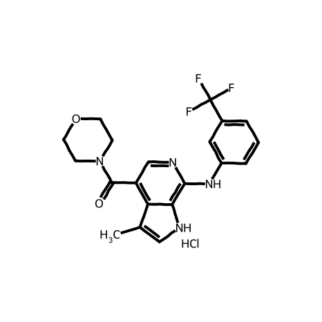 Cc1c[nH]c2c(Nc3cccc(C(F)(F)F)c3)ncc(C(=O)N3CCOCC3)c12.Cl